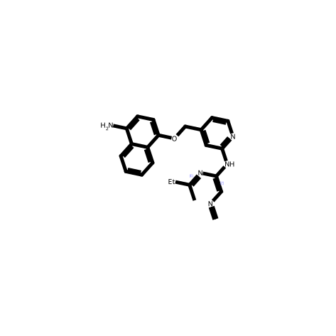 C=N/C=C(\N=C(/C)CC)Nc1cc(COc2ccc(N)c3ccccc23)ccn1